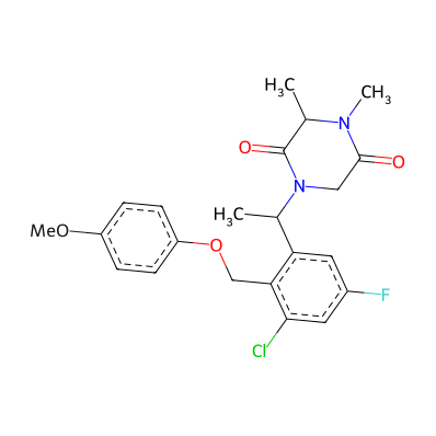 COc1ccc(OCc2c(Cl)cc(F)cc2C(C)N2CC(=O)N(C)C(C)C2=O)cc1